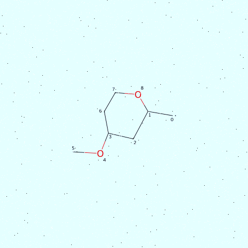 [CH2]C1CC(OC)CCO1